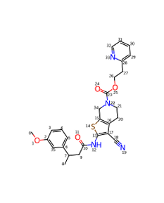 COc1cccc(C(C)CC(=O)Nc2sc3c(c2C#N)CCN(C(=O)OCCc2ccccn2)C3)c1